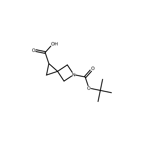 CC(C)(C)OC(=O)N1CC2(CC2C(=O)O)C1